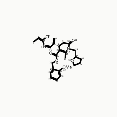 C=C(/C=N\C(Cl)=C/C)[C@@H]1CC(=O)N(C[C@H]2CCCO2)C(C)=C1C(=O)OCc1ccccc1OC